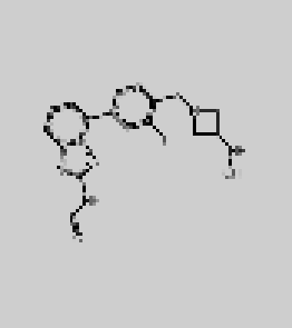 CNC1CN(Cc2ccc(-c3cccc4nc(NC=O)nn34)cc2F)C1